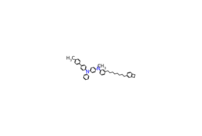 Cc1ccc(-c2ccc(N(c3ccccc3)c3ccc(N(C)c4cccc(CCCCCCCCc5ccc6c(c5)CC6)c4)cc3)cc2)cc1